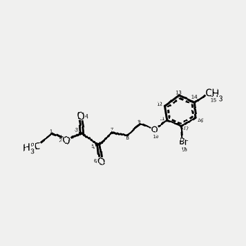 CCOC(=O)C(=O)CCCOc1ccc(C)cc1Br